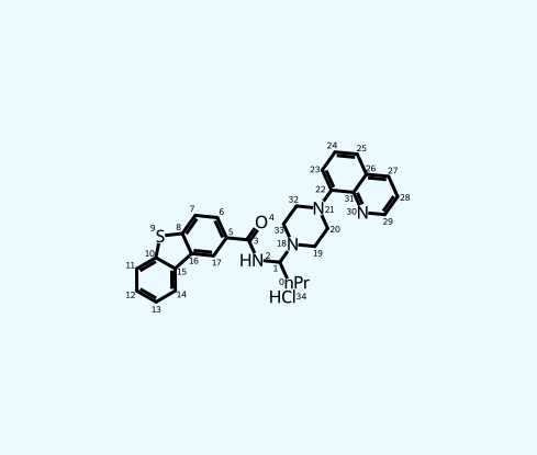 CCCC(NC(=O)c1ccc2sc3ccccc3c2c1)N1CCN(c2cccc3cccnc23)CC1.Cl